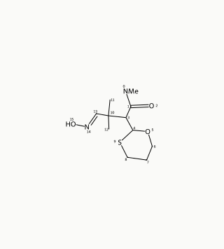 CNC(=O)C(C1OCCCS1)C(C)(C)C=NO